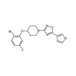 Fc1ccc(Br)c(OC2CCN(c3noc(C4=C[N]C=C4)n3)CC2)c1